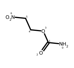 NC(=O)OCC[N+](=O)[O-]